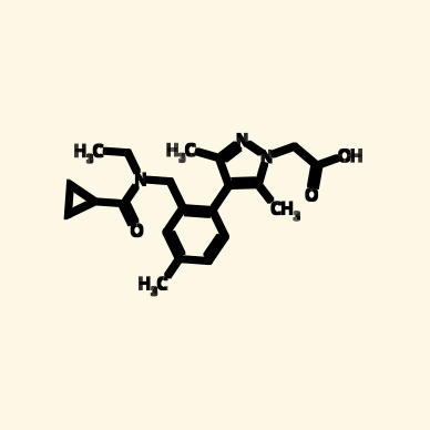 CCN(Cc1cc(C)ccc1-c1c(C)nn(CC(=O)O)c1C)C(=O)C1CC1